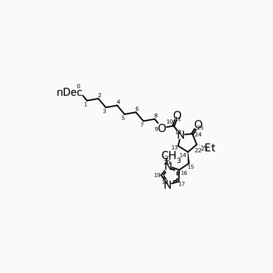 CCCCCCCCCCCCCCCCCCOC(=O)N1C[C@H](Cc2cncn2C)[C@@H](CC)C1=O